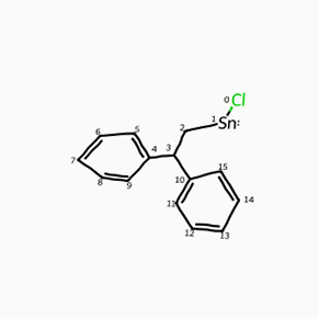 [Cl][Sn][CH2]C(c1ccccc1)c1ccccc1